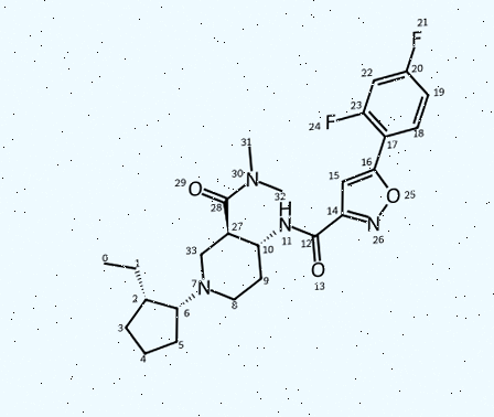 CC[C@H]1CCC[C@H]1N1CC[C@@H](NC(=O)c2cc(-c3ccc(F)cc3F)on2)[C@H](C(=O)N(C)C)C1